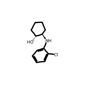 O[C@@H]1CCCC[C@H]1Nc1ccccc1Cl